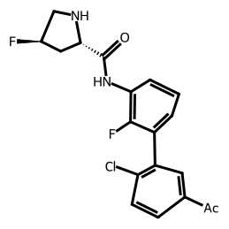 CC(=O)c1ccc(Cl)c(-c2cccc(NC(=O)[C@@H]3C[C@@H](F)CN3)c2F)c1